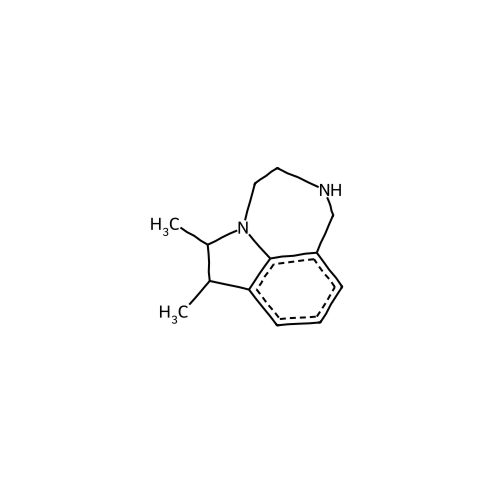 CC1c2cccc3c2N(CCNC3)C1C